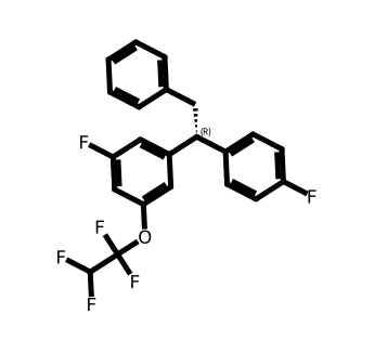 Fc1ccc([C@@H](Cc2ccccc2)c2cc(F)cc(OC(F)(F)C(F)F)c2)cc1